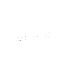 CC(C)c1cc(C(C)C)c(S(=O)(=O)C2CCN(c3nc(Cc4cc(F)cc(Cl)c4)cs3)CC2)c(C(C)C)c1